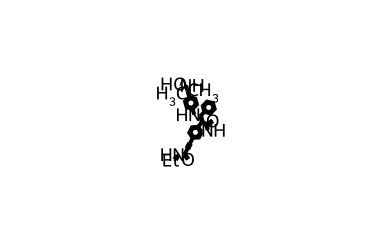 CCNC(=O)C#Cc1ccc2c(c1)NC(=O)/C2=C(/Nc1ccc(C(C)(C)NO)cc1)c1ccccc1